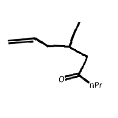 C=CCC(C)CC(=O)CCC